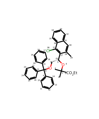 CCOC(=O)C(C)(C)O[C@H](COC(c1ccccc1)(c1ccccc1)c1ccccc1)c1c(C)cc2ccccc2c1Cl